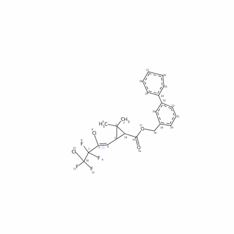 CC1(C)C(/C=C(\Cl)C(F)(F)C(F)(F)Cl)C1C(=O)OCc1cccc(-c2ccccc2)c1